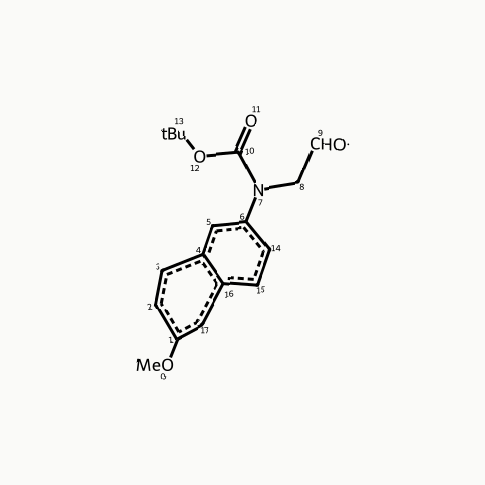 COc1ccc2cc(N(C[C]=O)C(=O)OC(C)(C)C)ccc2c1